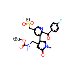 CCS(=O)(=O)Cc1cnc(C(=O)c2ccc(F)cc2)c(-c2cn(C)c(=O)cc2CNC(=O)OC(C)(C)C)c1